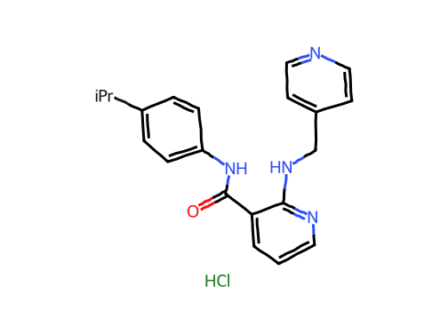 CC(C)c1ccc(NC(=O)c2cccnc2NCc2ccncc2)cc1.Cl